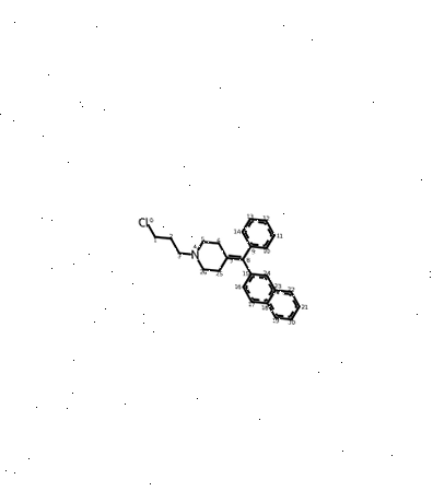 ClCCCN1CCC(=C(c2ccccc2)c2ccc3ccccc3c2)CC1